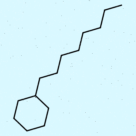 CCCCCCCC[C]1CCCCC1